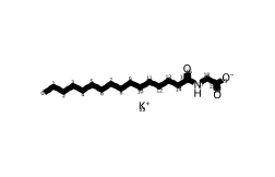 CCCCCCCCCCCCCCCC(=O)NCC(=O)[O-].[K+]